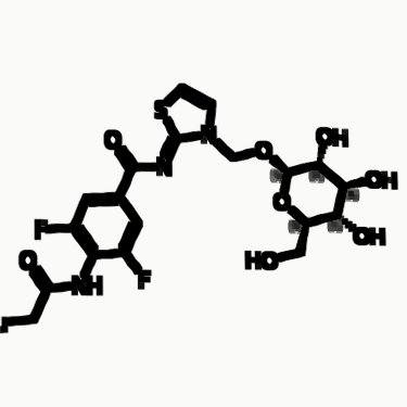 CC(C)(C)CC(=O)Nc1c(F)cc(C(=O)N=c2sccn2CO[C@@H]2O[C@H](CO)[C@@H](O)[C@H](O)[C@H]2O)cc1F